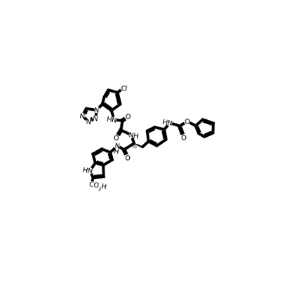 O=C(Nc1ccc(C[C@H](NC(=O)C(=O)Nc2cc(Cl)ccc2-n2cnnn2)C(=O)Nc2ccc3[nH]c(C(=O)O)cc3c2)cc1)Oc1ccccc1